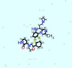 Cc1cnc(C(CCN2CCC2)Nc2ccc3c(c2)Sc2cccc(C4CN(c5ccc[nH]c5=O)CCO4)c2S3)cn1